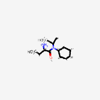 CC(C(=O)O)N(C(=O)C(N)CC(=O)O)C1CCCCC1